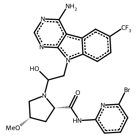 CO[C@H]1C[C@@H](C(=O)Nc2cccc(Br)n2)N(C(O)Cn2c3ccc(C(F)(F)F)cc3c3c(N)ncnc32)C1